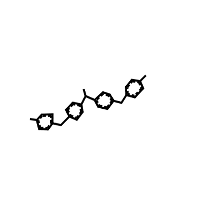 Cc1ccc(Cc2ccc(C(C)c3ccc(Cc4ccc(C)cc4)cc3)cc2)cc1